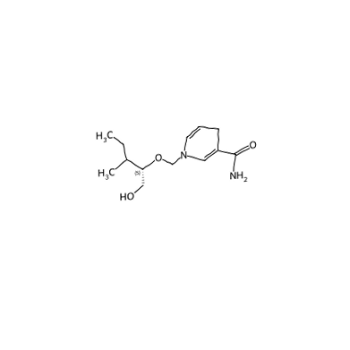 CCC(C)[C@@H](CO)OCN1C=CCC(C(N)=O)=C1